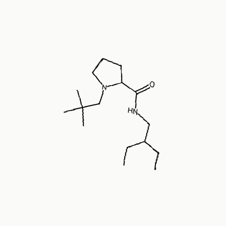 CCC(CC)CNC(=O)C1CCCN1CC(C)(C)C